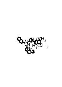 CC1(C)CCC(C)(C)c2cc(-c3cccc(-c4nc(-c5ccc6ccccc6c5)nc(-c5ccc6ccc7cccnc7c6n5)n4)c3)ccc21